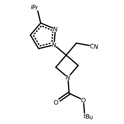 CC(C)c1ccn(C2(CC#N)CN(C(=O)OC(C)(C)C)C2)n1